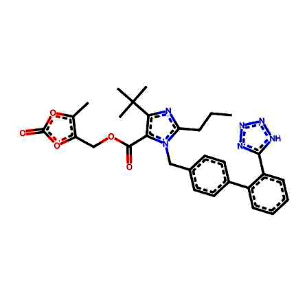 CCCc1nc(C(C)(C)C)c(C(=O)OCc2oc(=O)oc2C)n1Cc1ccc(-c2ccccc2-c2nnn[nH]2)cc1